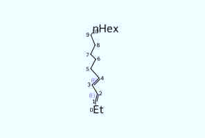 [CH2]C/C=C/C=C/CCCCCCCCCCC